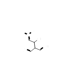 C=CC(C=C)C(O)C=S(=O)=O